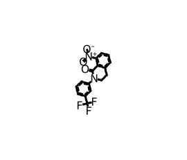 O=C1c2c(cccc2[N+](=O)[O-])CCN1c1cccc(C(F)(F)F)c1